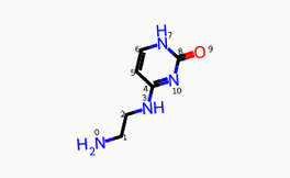 NCCNc1cc[nH]c(=O)n1